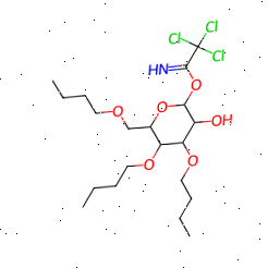 CCCCOCC1OC(OC(=N)C(Cl)(Cl)Cl)C(O)C(OCCCC)C1OCCCC